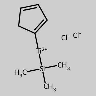 C[Si](C)(C)[Ti+2][C]1=CC=CC1.[Cl-].[Cl-]